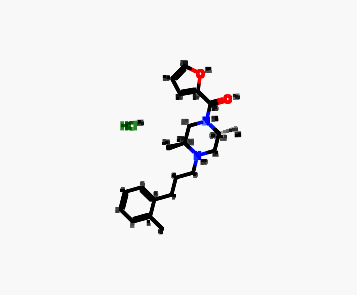 Cc1ccccc1CCCN1C[C@@H](C)N(C(=O)c2ccco2)C[C@@H]1C.Cl